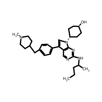 CCCC(C)Nc1ncc2c(-c3ccc(CC4CCN(C)CC4)cc3)cn([C@H]3CC[C@H](O)CC3)c2n1